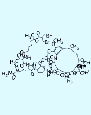 COc1cc(NC(=O)O[C@H]2CC(=O)N(C)c3cc(cc(OC)c3Cl)C/C(C)=C/C=C/[C@@H](OC)[C@@]3(O)C[C@H](OC(O)N3)[C@@H](C)[C@@H]3O[C@@]23C)ccc1NC(=O)[C@H](CCCNC(N)=O)NC(=O)[C@@H](NC(=O)CCCCC(C)OC(=O)C(CBr)CBr)C(C)C